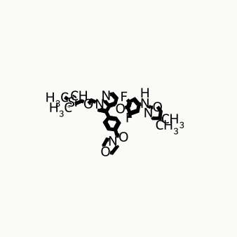 CC1(C)CN=C(Nc2cc(F)c(Oc3ccnc4c3c(-c3ccc(C(=O)N5CCOCC5)cc3)cn4COCC[Si](C)(C)C)c(F)c2)OC1